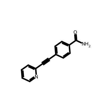 NC(=O)c1ccc(C#Cc2ccccn2)cc1